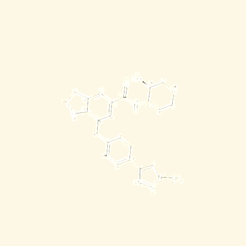 Cn1cc(-c2ccc(Cc3cc(C(=O)N[C@H]4CCOC[C@@H]4O)nc4c3OCC4)cc2)nn1